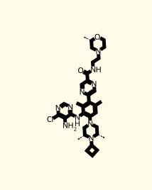 Cc1cc(N2C[C@@H](C)N(C3CCC3)[C@@H](C)C2)c(Nc2ncnc(Cl)c2N)c(C)c1-c1cnc(C(=O)NCCN2CCO[C@@H](C)C2)cn1